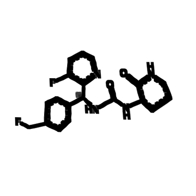 O=C(Nc1ccc[nH]c1=O)N[C@@H](c1ccc(CF)cc1)c1ncccc1F